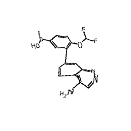 CB(O)c1ccc(OC(F)F)c(-c2ccc3c(N)cnnc3c2)c1